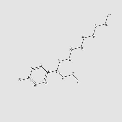 [CH2]c1ccc(C(CCC)CCCCCCCCC)cc1